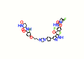 O=C1CCC(NC(=O)c2ccc(OCCCCN3CCN(c4ccc(-c5cnc6[nH]cc(C(=O)c7c(F)ccc(NS(=O)(=O)N8CC[C@@H](F)C8)c7F)c6c5)cc4)CC3)cc2F)C(=O)N1